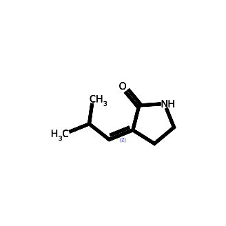 CC(C)/C=C1/CCNC1=O